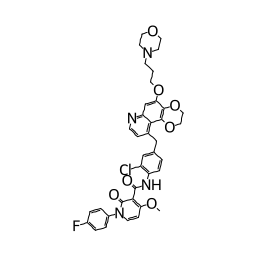 COc1ccn(-c2ccc(F)cc2)c(=O)c1C(=O)Nc1ccc(Cc2ccnc3cc(OCCCN4CCOCC4)c4c(c23)OCCO4)cc1Cl